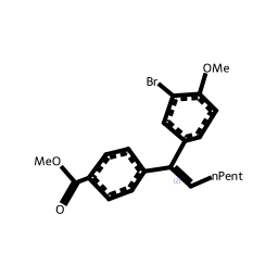 CCCCC/C=C(/c1ccc(C(=O)OC)cc1)c1ccc(OC)c(Br)c1